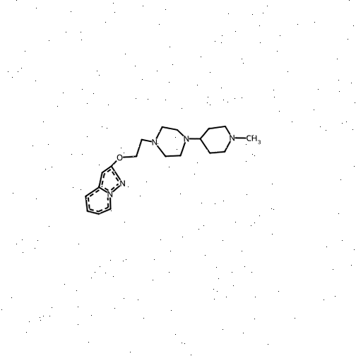 CN1CCC(N2CCN(CCOc3cc4ccccn4n3)CC2)CC1